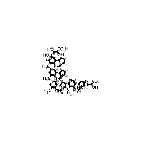 Cc1cncc([C@@H]2CCCN2C)c1C.Cc1cncc([C@@H]2CCCN2C)c1C.Cc1cncc([C@@H]2CCCN2C)c1C.Cc1cncc([C@@H]2CCCN2C)c1C.O=C(O)C(O)C(O)C(=O)O.O=C(O)C(O)C(O)C(=O)O